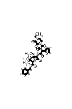 CCN1CCN(C(=O)NC(C(=O)N[C@H]2C(=O)N3[C@@H](C(=O)OCc4ccccc4)C(C)(C)SC23SC)c2cccs2)C(=O)C1=O